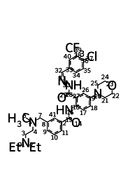 CCN(CC)CCN(C)Cc1cccc(C(=O)Nc2ccc(N3CCOCC3)cc2C(=O)N/N=C\c2ccc(Cl)c(C(F)(F)F)c2)c1